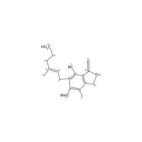 COc1c(C)c2c(c(C#N)c1C/C=C(\C)CCC(=O)O)C(=O)OC2